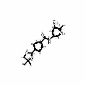 Cc1ncc(NC(=O)c2ccc(C3=NC(C)(C)CO3)cc2)cc1N